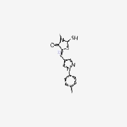 Cc1ccc(-n2cc(/C=C3\SC(S)N(C)C3=O)cn2)cc1